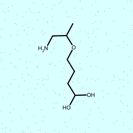 CC(CN)OCCCC(O)O